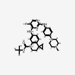 CN1CCN(c2ccc(Nc3ncc(F)c(Nc4ccc5c(c4)N(C(=O)OC(C)(C)C)CCC54CC4)n3)cc2)CC1